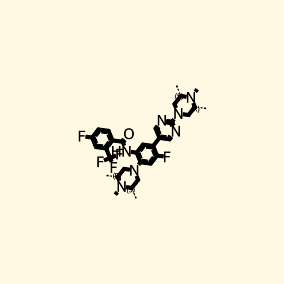 C[C@@H]1CN(c2ncc(-c3cc(NC(=O)c4ccc(F)cc4C(F)(F)F)c(N4C[C@@H](C)N(C)[C@@H](C)C4)cc3F)cn2)C[C@H](C)N1C